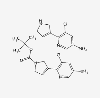 CC(C)(C)OC(=O)N1CC=C(c2ncc(N)cc2Cl)C1.Nc1cnc(C2=CCNC2)c(Cl)c1